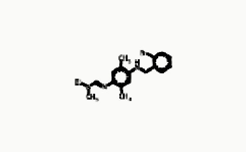 CCN(C)C=Nc1cc(C)c(NCc2ccccc2Br)cc1C